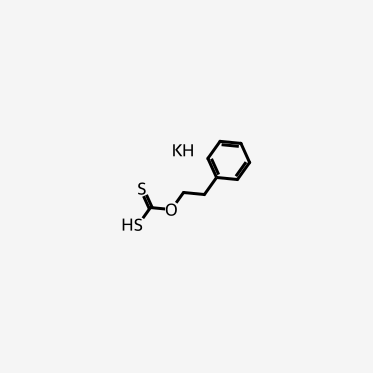 S=C(S)OCCc1ccccc1.[KH]